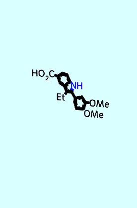 CCc1c(-c2ccc(OC)c(OC)c2)[nH]c2ccc(C(=O)O)cc12